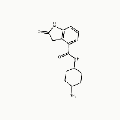 NC1CCC(NC(=O)c2cccc3c2CC(=O)N3)CC1